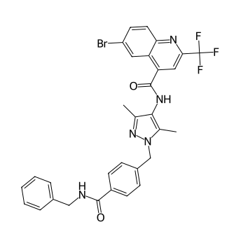 Cc1nn(Cc2ccc(C(=O)NCc3ccccc3)cc2)c(C)c1NC(=O)c1cc(C(F)(F)F)nc2ccc(Br)cc12